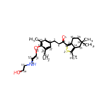 CCc1sc(C(=O)CCc2cc(C)c(OCCNCCO)c(C)c2)c2c1CC(C)(C)CC2